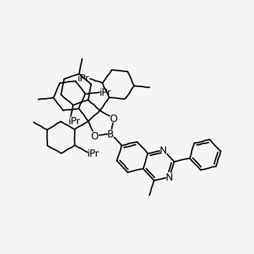 Cc1nc(-c2ccccc2)nc2cc(B3OC(C4CC(C)CCC4C(C)C)(C4CC(C)CCC4C(C)C)C(C4CC(C)CCC4C(C)C)(C4CC(C)CCC4C(C)C)O3)ccc12